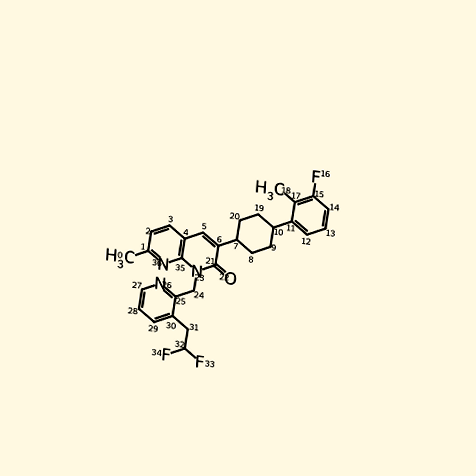 Cc1ccc2cc(C3CCC(c4cccc(F)c4C)CC3)c(=O)n(Cc3ncccc3CC(F)F)c2n1